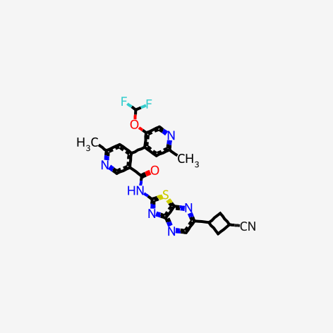 Cc1cc(-c2cc(C)ncc2C(=O)Nc2nc3ncc(C4CC(C#N)C4)nc3s2)c(OC(F)F)cn1